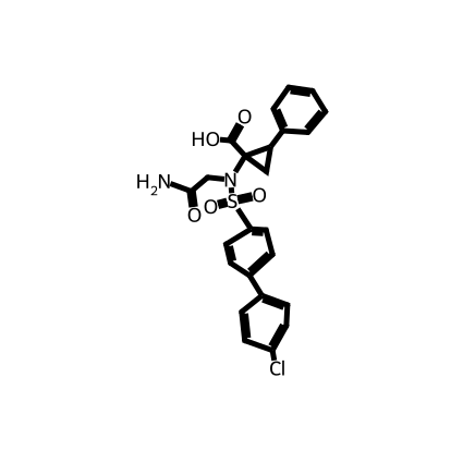 NC(=O)CN(C1(C(=O)O)CC1c1ccccc1)S(=O)(=O)c1ccc(-c2ccc(Cl)cc2)cc1